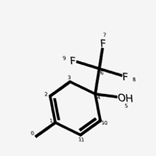 CC1=CCC(O)(C(F)(F)F)C=C1